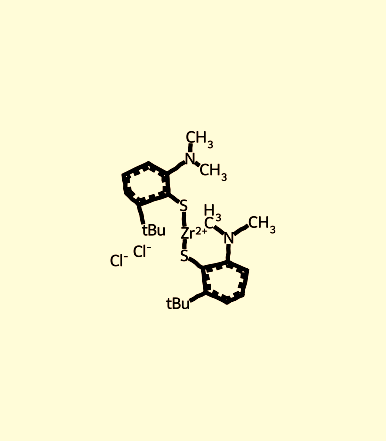 CN(C)c1cccc(C(C)(C)C)c1[S][Zr+2][S]c1c(N(C)C)cccc1C(C)(C)C.[Cl-].[Cl-]